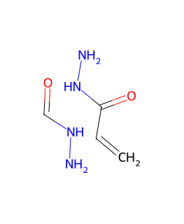 C=CC(=O)NN.NNC=O